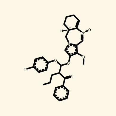 CCCC(C(=O)c1ccccc1)C(Oc1ccc(Cl)cc1)Oc1cn2c(c1OC)C=[N+]([O-])C1=CCCC[C@H]1C2